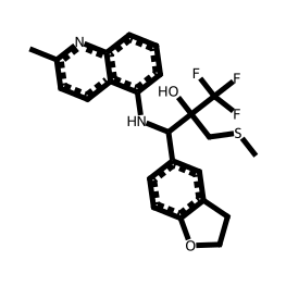 CSCC(O)(C(Nc1cccc2nc(C)ccc12)c1ccc2c(c1)CCO2)C(F)(F)F